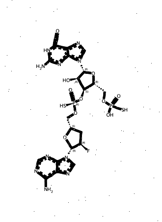 Nc1nc2c(ncn2[C@@H]2O[C@H](COP(=O)(O)S)[C@@H](O[P@](=O)(S)OC[C@@H]3C[C@@H](F)[C@H](n4cnc5c(N)ncnc54)O3)[C@H]2O)c(=O)[nH]1